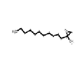 CCCCCCCCCCCC1(C)CO1